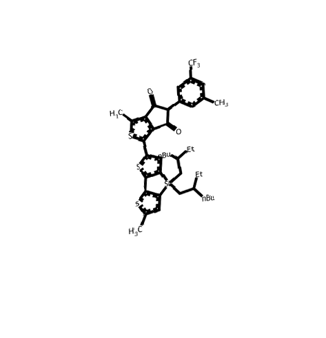 CCCCC(CC)C[Si]1(CC(CC)CCCC)c2cc(C)sc2-c2sc(-c3sc(C)c4c3C(=O)C(c3cc(C)cc(C(F)(F)F)c3)C4=O)cc21